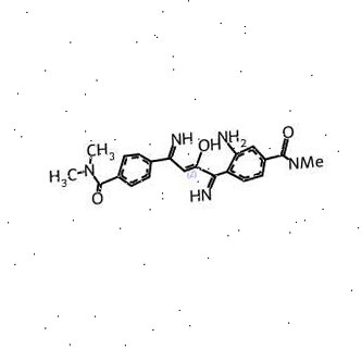 CNC(=O)c1ccc(C(=N)/C(O)=C/C(=N)c2ccc(C(=O)N(C)C)cc2)c(N)c1